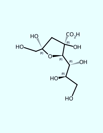 O=C(O)[C@@]1(O)C[C@](O)(CO)O[C@@H]1[C@H](O)[C@H](O)CO